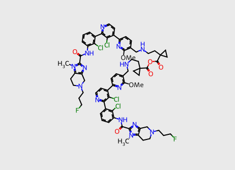 COc1nc(-c2ccnc(-c3cccc(NC(=O)c4nc5c(n4C)CCN(CCCF)C5)c3Cl)c2Cl)ccc1CNCCC1(C(=O)OC(=O)C2(CCNCc3ccc(-c4ccnc(-c5cccc(NC(=O)c6nc7c(n6C)CCN(CCCF)C7)c5Cl)c4Cl)nc3OC)CC2)CC1